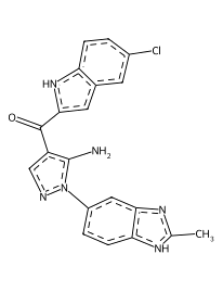 Cc1nc2cc(-n3ncc(C(=O)c4cc5cc(Cl)ccc5[nH]4)c3N)ccc2[nH]1